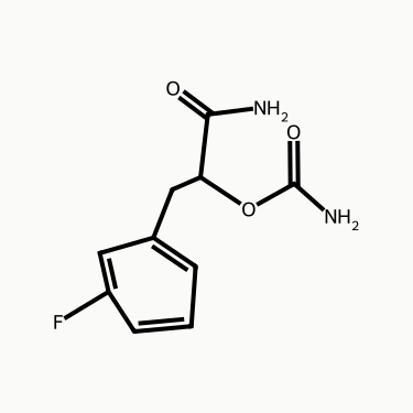 NC(=O)OC(Cc1cccc(F)c1)C(N)=O